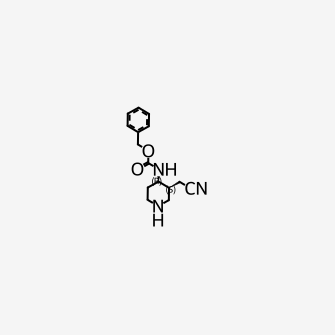 N#CC[C@H]1CNCC[C@H]1NC(=O)OCc1ccccc1